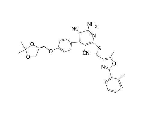 Cc1ccccc1-c1nc(CSc2nc(N)c(C#N)c(-c3ccc(OC[C@H]4COC(C)(C)O4)cc3)c2C#N)c(C)o1